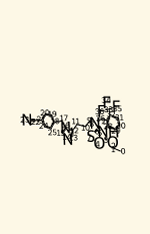 CCOC(=O)NC(=S)N(CCCc1cncn1Cc1ccc(C#N)cc1)Cc1ccccc1C(F)(F)F